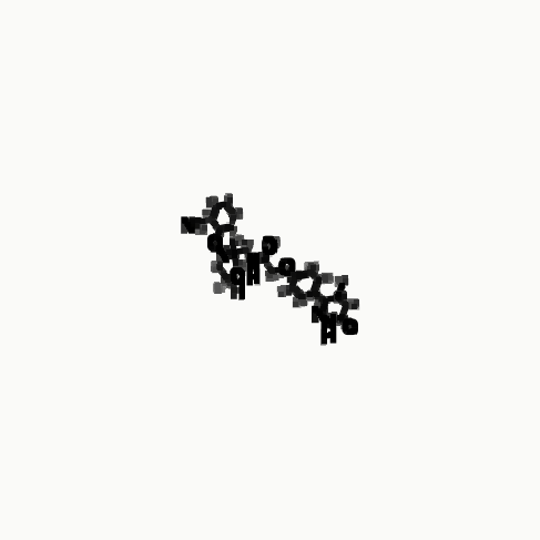 C[C@@H](O)CN(Oc1ccccc1C#N)C(C)(C)CNC(=O)COc1ccc(C2=NNC(=O)C[C@@H]2C)cc1